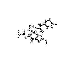 CCc1cc2n(CC(=O)Nc3ccc(C)cn3)c(CO)c(CN(C)C(C)C)c(=O)n2n1